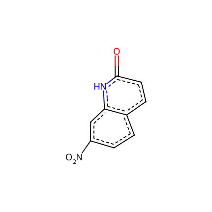 O=c1ccc2ccc([N+](=O)[O-])cc2[nH]1